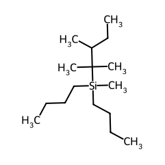 CCCC[Si](C)(CCCC)C(C)(C)C(C)CC